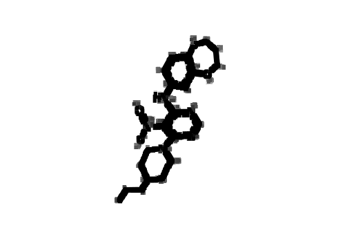 CCCC1CCN(c2ncnc(Nc3ccc4c(c3)OCCCO4)c2[N+](=O)[O-])CC1